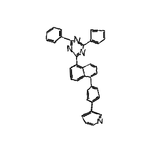 c1ccc(-c2nc(-c3ccccc3)nc(-c3cccc4c(-c5ccc(-c6cccnc6)cc5)cccc34)n2)cc1